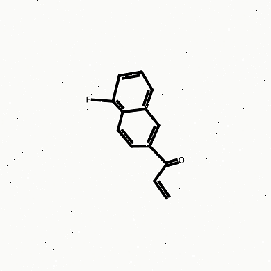 C=CC(=O)c1ccc2c(F)cccc2c1